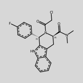 CN(C)C(=O)[C@H]1Cc2c([nH]c3ccccc23)[C@H](c2ccc(F)cc2)N1C(=O)CCl